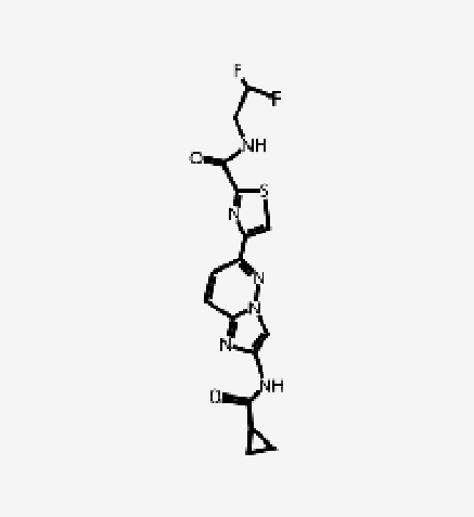 O=C(NCC(F)F)c1nc(-c2ccc3nc(NC(=O)C4CC4)cn3n2)cs1